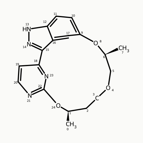 C[C@@H]1CCOC[C@H](C)Oc2ccc3[nH]nc(c3c2)-c2ccnc(n2)O1